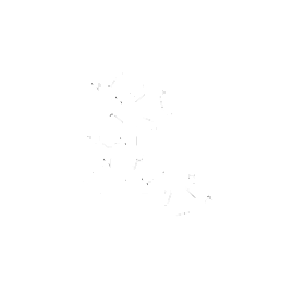 NC(=O)n1cc(NC(=O)N2C3CC3C[C@H]2C(=O)NCc2cccc(Cl)c2F)c2ccccc21